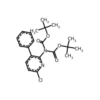 CC(C)(C)OC(=O)N(C(=O)OC(C)(C)C)c1nc(Cl)ccc1-c1ccccc1